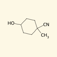 CC1(C#N)CCC(O)CC1